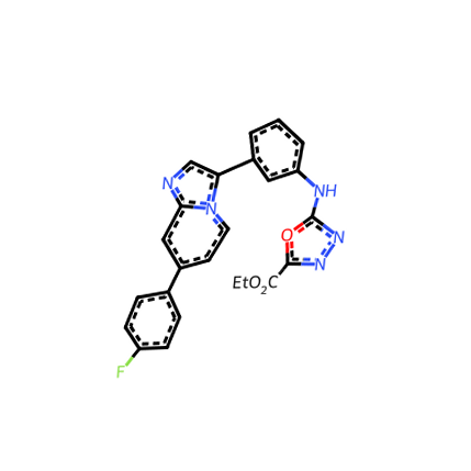 CCOC(=O)c1nnc(Nc2cccc(-c3cnc4cc(-c5ccc(F)cc5)ccn34)c2)o1